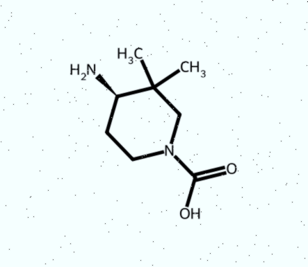 CC1(C)CN(C(=O)O)CC[C@H]1N